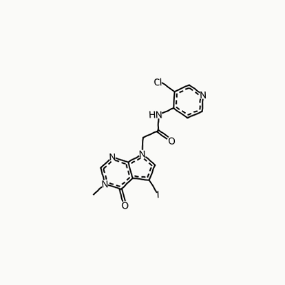 Cn1cnc2c(c(I)cn2CC(=O)Nc2ccncc2Cl)c1=O